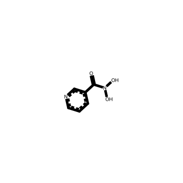 O=C(c1cccnc1)N(O)O